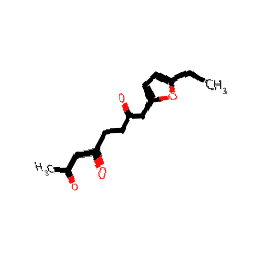 CCc1ccc(CC(=O)CCC(=O)CC(C)=O)o1